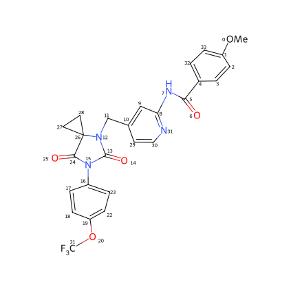 COc1ccc(C(=O)Nc2cc(CN3C(=O)N(c4ccc(OC(F)(F)F)cc4)C(=O)C34CC4)ccn2)cc1